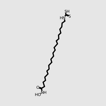 O=C(CCCCCCCCCCCCCCCCCCCCCCCNC(=S)S)NO